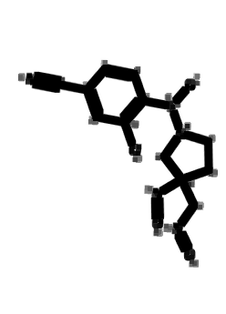 N#Cc1ccc([S+]([O-])N2CCC(CN=O)(N=O)C2)c(Cl)c1